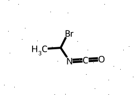 CC(Br)N=C=O